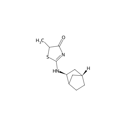 CC1SC(N[C@H]2C[C@@H]3CCC2C3)=NC1=O